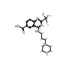 O=C(O)c1ccc2nc(C(F)(F)F)nc(NCCCN3CCOCC3)c2c1